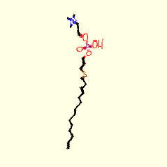 CCCCCCCCCCCCCCSCCCOP(=O)(O)OCC[N+](C)(C)C